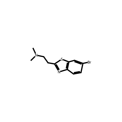 CN(C)CCc1nc2ccc(Br)cc2s1